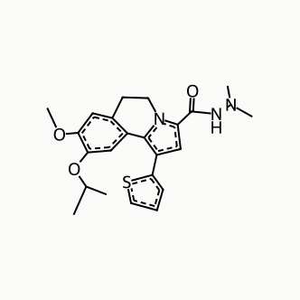 COc1cc2c(cc1OC(C)C)-c1c(-c3cccs3)cc(C(=O)NN(C)C)n1CC2